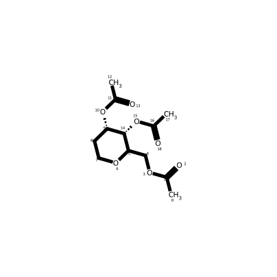 CC(=O)OCC1OCC[C@H](OC(C)=O)[C@@H]1OC(C)=O